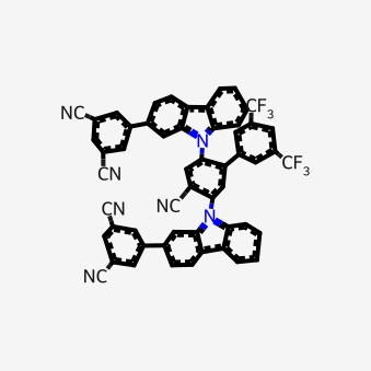 N#Cc1cc(C#N)cc(-c2ccc3c4ccccc4n(-c4cc(-c5cc(C(F)(F)F)cc(C(F)(F)F)c5)c(-n5c6ccccc6c6ccc(-c7cc(C#N)cc(C#N)c7)cc65)cc4C#N)c3c2)c1